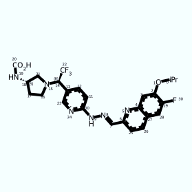 CC(C)Oc1cc2nc(C=NNc3ccc([C@@H](N4CC[C@H](NC(=O)O)C4)C(F)(F)F)cn3)ccc2cc1F